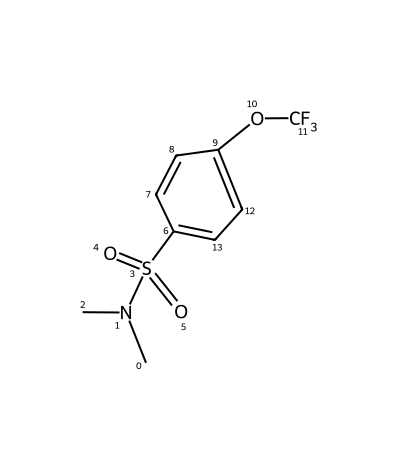 CN(C)S(=O)(=O)c1ccc(OC(F)(F)F)cc1